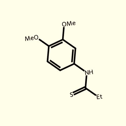 CCC(=S)Nc1ccc(OC)c(OC)c1